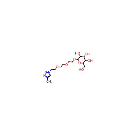 Cc1cn(CCOCCOCCOC2OC(CO)C(O)C(O)C2O)nn1